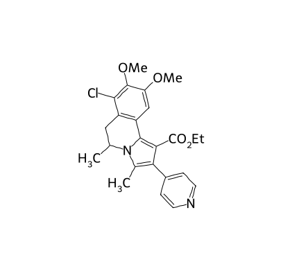 CCOC(=O)c1c(-c2ccncc2)c(C)n2c1-c1cc(OC)c(OC)c(Cl)c1CC2C